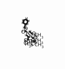 COC(=O)C1CN(C(=O)OCc2ccccc2)CC(OC)N1C(=O)OC(C)(C)C